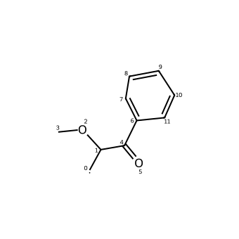 [CH2]C(OC)C(=O)c1ccccc1